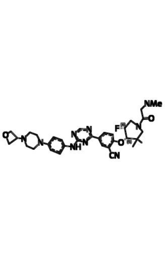 CNCC(=O)N1C[C@@H](F)[C@@H](Oc2ccc(-c3ncnc(Nc4ccc(N5CCN(C6COC6)CC5)cc4)n3)cc2C#N)C(C)(C)C1